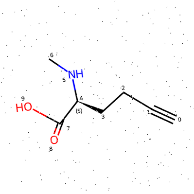 C#CCC[C@H](NC)C(=O)O